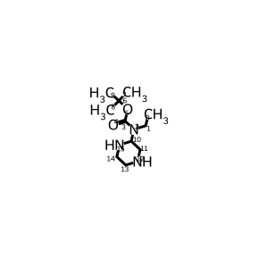 CCN(C(=O)OC(C)(C)C)C1CNCCN1